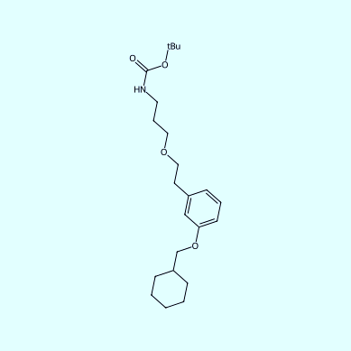 CC(C)(C)OC(=O)NCCCOCCc1cccc(OCC2CCCCC2)c1